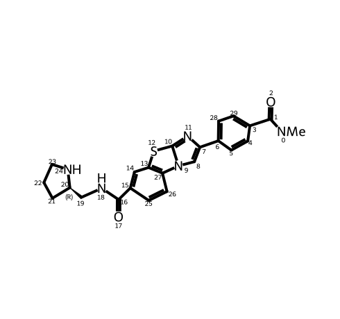 CNC(=O)c1ccc(-c2cn3c(n2)sc2cc(C(=O)NC[C@H]4CCCN4)ccc23)cc1